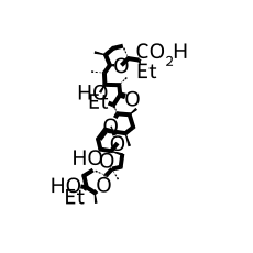 CCC(C(=O)[C@@H](C)[C@@H](O)[C@H](C)[C@@H]1O[C@@H]([C@@H](CC)C(=O)O)CC[C@@H]1C)[C@H]1O[C@]2(C=C[C@@H](O)[C@]3(CC[C@@](C)([C@H]4CC[C@](O)(CC)[C@H](C)O4)O3)O2)[C@H](C)C[C@@H]1C